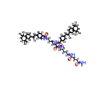 CNC(=O)CCCC(=O)NCCCCCNC(=O)C(CCCCNC(=O)c1ccc(/C=C(\C)c2ccc3c(c2)C(C)(C)CCC3(C)C)cc1)NC(=O)c1ccc(/C=C(\C)c2ccc3c(c2)C(C)(C)CCC3(C)C)cc1